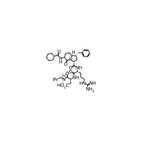 CC(C)CNC(=O)[C@H](CC(=O)O)NC(=O)[C@H](CCCNC(=N)N)NC(=O)[C@@H]1C[C@@H](Cc2ccccc2)[C@@H]2CCC(NC(=O)C3CCCCC3)C(=O)N12